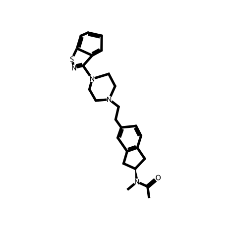 CC(=O)N(C)[C@@H]1Cc2ccc(CCN3CCN(c4nsc5ccccc45)CC3)cc2C1